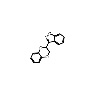 c1ccc2c(c1)OCC(c1noc3ccccc13)O2